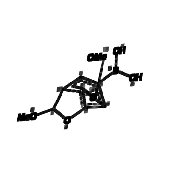 COC1Oc2c3c(B(O)O)cc1c2C(OC)O3